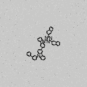 c1ccc(-c2cccc(-n3c4ccccc4c4cc(-c5ccc6c(c5)c5ccccc5n6-c5nc(-c6ccc7ccccc7c6)nc(-c6ccc7ccccc7c6)n5)ccc43)c2)cc1